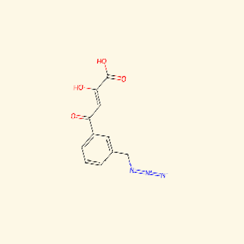 [N-]=[N+]=NCc1cccc(C(=O)/C=C(\O)C(=O)O)c1